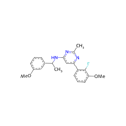 COc1cccc(C(C)Nc2cc(-c3cccc(OC)c3F)nc(C)n2)c1